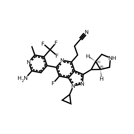 Cc1nc(N)cc(-c2nc(CCC#N)c3c(C4[C@H]5CNC[C@@H]45)nn(C4CC4)c3c2F)c1C(F)(F)F